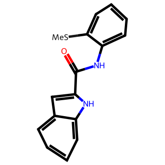 CSc1ccccc1NC(=O)c1cc2ccccc2[nH]1